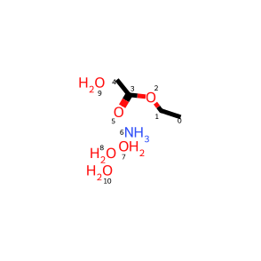 CCOC(C)=O.N.O.O.O.O